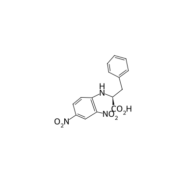 O=C(O)[C@H](Cc1ccccc1)Nc1ccc([N+](=O)[O-])cc1[N+](=O)[O-]